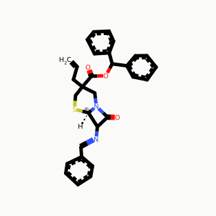 C=CCC1(C(=O)OC(c2ccccc2)c2ccccc2)CS[C@@H]2C(N=Cc3ccccc3)C(=O)N2C1